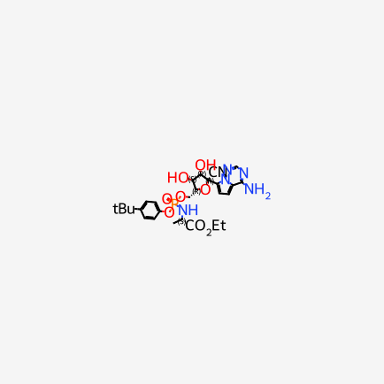 CCOC(=O)[C@H](C)NP(=O)(OC[C@H]1O[C@@](C#N)(c2ccc3c(N)ncnn23)[C@H](O)[C@@H]1O)Oc1ccc(C(C)(C)C)cc1